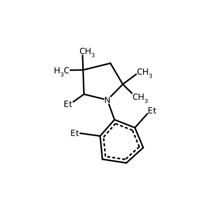 CCc1cccc(CC)c1N1C(CC)C(C)(C)CC1(C)C